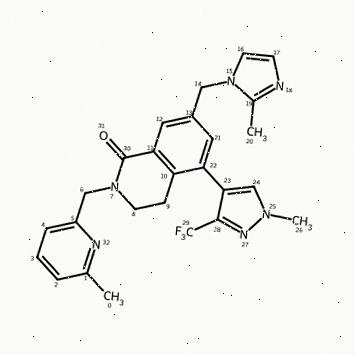 Cc1cccc(CN2CCc3c(cc(Cn4ccnc4C)cc3-c3cn(C)nc3C(F)(F)F)C2=O)n1